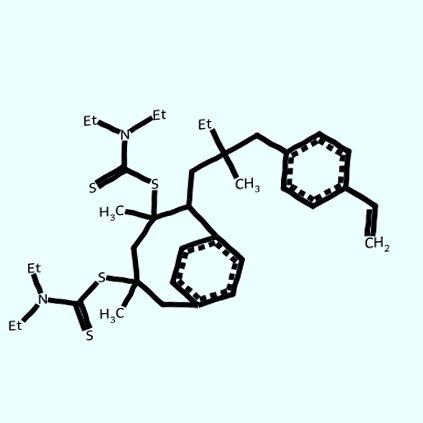 C=Cc1ccc(CC(C)(CC)CC2c3ccc(cc3)CC(C)(SC(=S)N(CC)CC)CC2(C)SC(=S)N(CC)CC)cc1